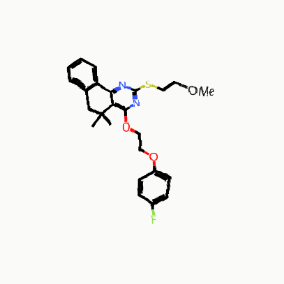 COCCSc1nc(OCCOc2ccc(F)cc2)c2c(n1)-c1ccccc1CC2(C)C